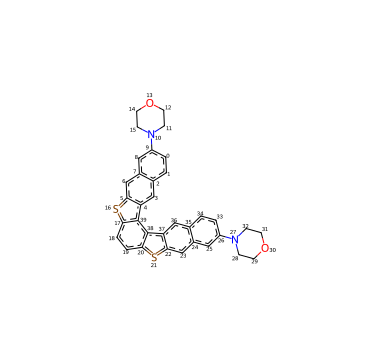 c1cc2cc3c(cc2cc1N1CCOCC1)sc1ccc2sc4cc5cc(N6CCOCC6)ccc5cc4c2c13